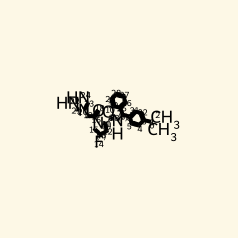 CC(C)c1ccc([C@@H](NC(=O)[C@@H]2C[C@@H](F)CN2C(=O)CN(C=N)C=N)c2ccccc2)cc1